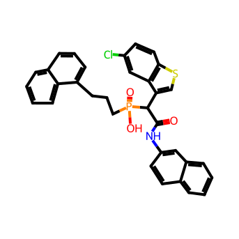 O=C(Nc1ccc2ccccc2c1)C(c1csc2ccc(Cl)cc12)P(=O)(O)CCCc1cccc2ccccc12